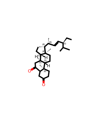 CC[C@H](C=C[C@@H](C)[C@H]1CC[C@H]2[C@@H]3CC(=O)C4CC(=O)CC[C@]4(C)[C@H]3CC[C@]12C)C(C)C